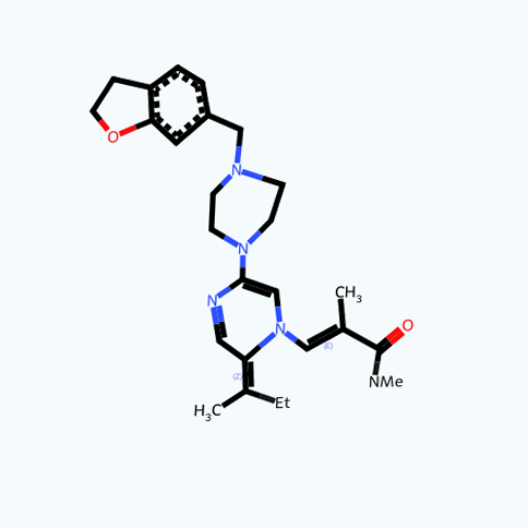 CC/C(C)=C1/C=NC(N2CCN(Cc3ccc4c(c3)OCC4)CC2)=CN1/C=C(\C)C(=O)NC